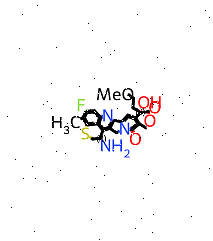 COCC[C@@]1(O)C(=O)OCc2c1cc1n(c2=O)Cc2c-1nc1cc(F)c(C)c3c1c2[C@@H](N)CS3